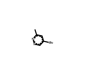 Cc1cc(C(C)(C)C)cnn1